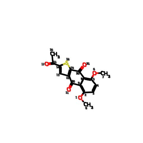 COc1ccc(OC)c2c1C(=O)c1cc(C(C)=O)sc1C2=O